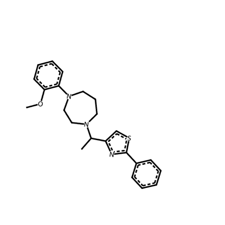 COc1ccccc1N1CCCN(C(C)c2csc(-c3ccccc3)n2)CC1